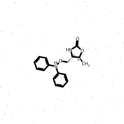 C[C@@H]1OC(=O)N[C@H]1CO[SiH](c1ccccc1)c1ccccc1